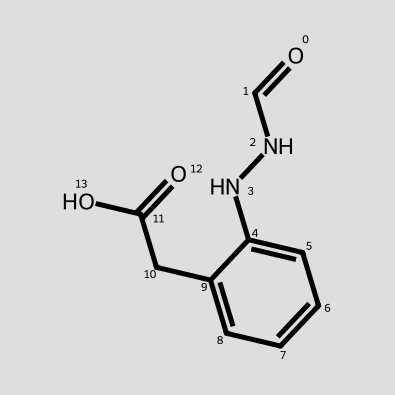 O=CNNc1ccccc1CC(=O)O